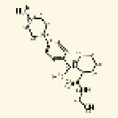 CC(c1ccc(N2CCN(C)CC2)cc1)N1CCCCC1C(=O)NCC#N